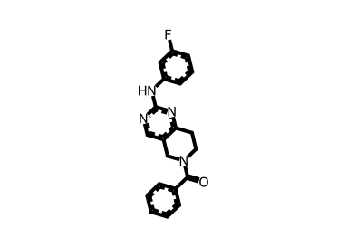 O=C(c1ccccc1)N1CCc2nc(Nc3cccc(F)c3)ncc2C1